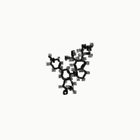 CN1CC=C(c2cc3c(c(N4CCCc5cc(-c6cnn(C)c6)c(C(F)F)cc54)c2)CN(C)C(=O)C3)CC1